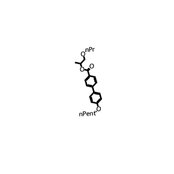 CCCCCOc1ccc(-c2ccc(C(=O)OC(C)COCCC)cc2)cc1